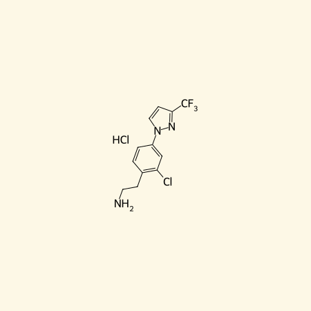 Cl.NCCc1ccc(-n2ccc(C(F)(F)F)n2)cc1Cl